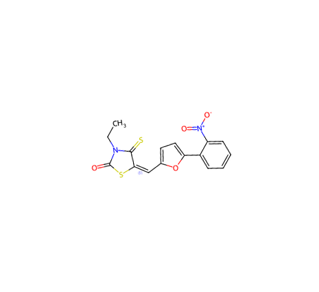 CCN1C(=O)S/C(=C/c2ccc(-c3ccccc3[N+](=O)[O-])o2)C1=S